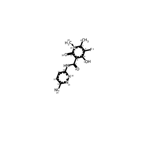 Cc1c(F)c(O)c(C(=O)Nc2ccc(C#N)nn2)c(=O)n1C